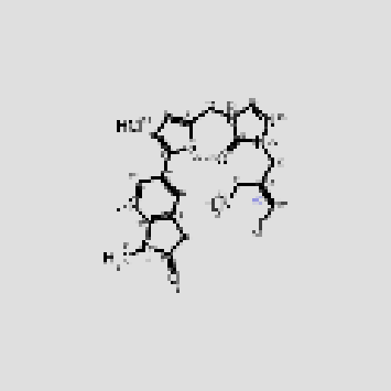 CN1C(=O)Cc2cc(-c3ccc(Cn4cnn(C/C(=C/F)CN)c4=O)s3)cnc21.Cl